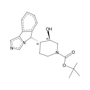 CC(C)(C)OC(=O)N1CC[C@H](C2c3ccccc3-c3cncn32)[C@@H](O)C1